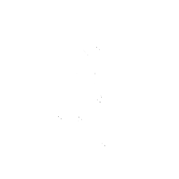 N#Cc1ccc2ncc(-c3noc4cc(C(=O)N5CCOCC5)ccc34)n2c1